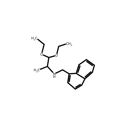 CCOC(OCC)C(C)NCc1cccc2ccccc12